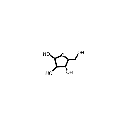 OCC1OC(O)C(O)[C@@H]1O